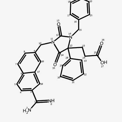 N=C(N)c1ccc2ccc(CN3C(=O)N(Cc4ccccc4)C(CCC(=O)O)(c4ccccc4)C3=O)cc2c1